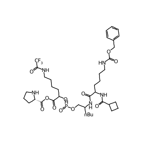 CCCCC(CO[PH](=O)OC(CCCCNC(=O)C(F)(F)F)C(=O)OC(=O)[C@@H]1CCCN1)NC(=O)C(CCCCNC(=O)OCc1ccccc1)NC(=O)C1CCC1